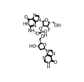 Nc1nc2c(ncn2[C@@H]2O[C@H](CO)[C@@H](F)[C@H]2OP(=O)(O)OC[C@H]2O[C@@H](n3cnc4c(=O)[nH]cnc43)C[C@@H]2O)c(=O)[nH]1